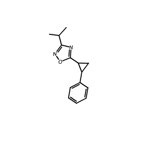 CC(C)c1noc(C2CC2c2ccccc2)n1